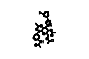 CC(=O)Nc1cccc(SC2O[C@H](COC(C)=O)[C@H](OC(C)=O)[C@H](n3cc(-c4cccc(F)c4)nn3)[C@H]2OC(C)=O)c1